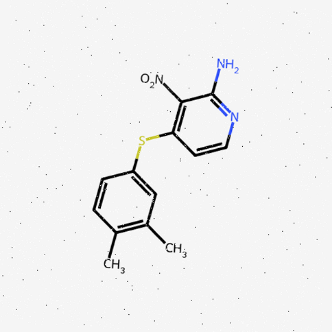 Cc1ccc(Sc2ccnc(N)c2[N+](=O)[O-])cc1C